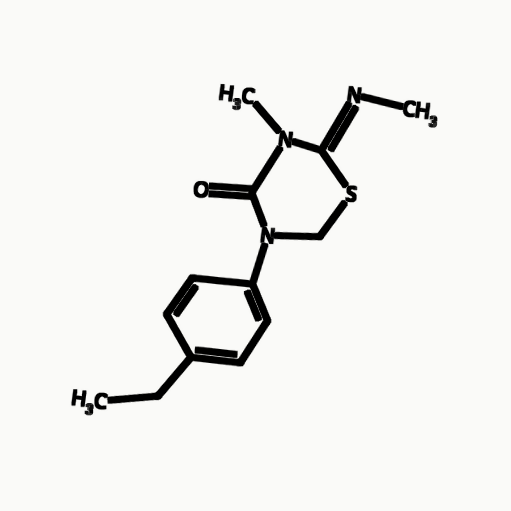 CCc1ccc(N2CSC(=NC)N(C)C2=O)cc1